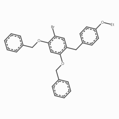 CCOc1ccc(Cc2cc(Br)c(OCc3ccccc3)cc2OCc2ccccc2)cc1